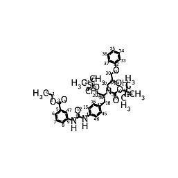 CCOC(=O)c1cccc(NC(=O)Nc2ccc(C[C@@H](CO[Si](C)(C)C)N(C[C@H](O)COc3ccccc3)C(=O)OC(C)(C)C)cc2)c1